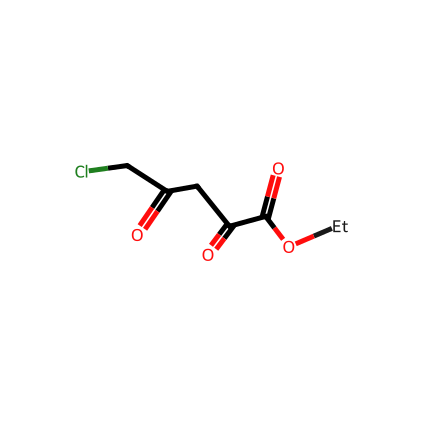 CCOC(=O)C(=O)CC(=O)CCl